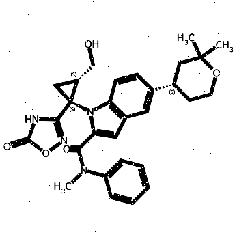 CN(C(=O)c1cc2cc([C@H]3CCOC(C)(C)C3)ccc2n1[C@@]1(c2noc(=O)[nH]2)C[C@@H]1CO)c1ccccc1